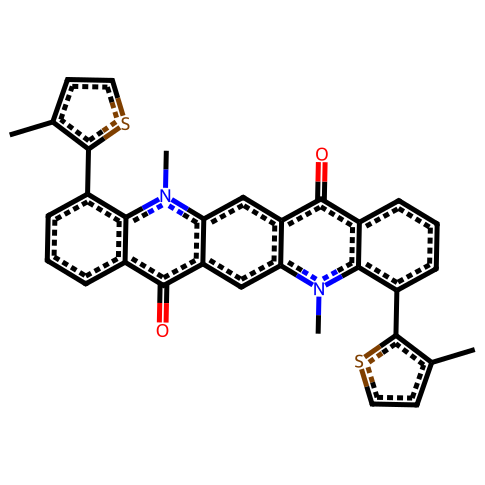 Cc1ccsc1-c1cccc2c(=O)c3cc4c(cc3n(C)c12)c(=O)c1cccc(-c2sccc2C)c1n4C